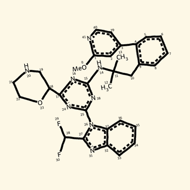 COc1cc(-c2ccccc2CC(C)(C)Nc2nc(C3CNCCO3)nc(-n3c(C(F)F)nc4ccccc43)n2)ccn1